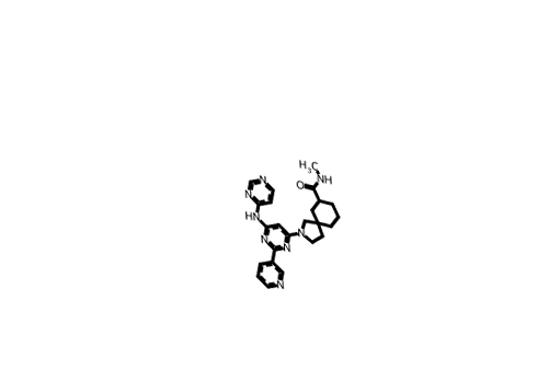 CNC(=O)C1CCCC2(CCN(c3cc(Nc4ccncn4)nc(-c4cccnc4)n3)C2)C1